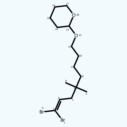 CC(C)(CC=C(Br)Br)CCCCOC1CCCCO1